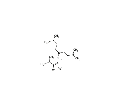 CC(C)C(=O)[O-].CN(C)CCN(C)CCN(C)C.[Ag+]